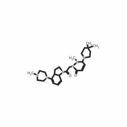 CN1CCN(C2=CC=CC3C2CCN3C(=O)CN2C(=O)C=CC(N3CCC(C)(C)CC3)N2C)CC1